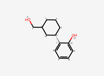 OCC1CCC[C@H](c2ccccc2O)C1